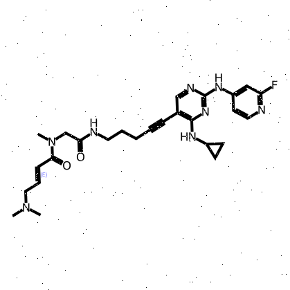 CN(C)C/C=C/C(=O)N(C)CC(=O)NCCCC#Cc1cnc(Nc2ccnc(F)c2)nc1NC1CC1